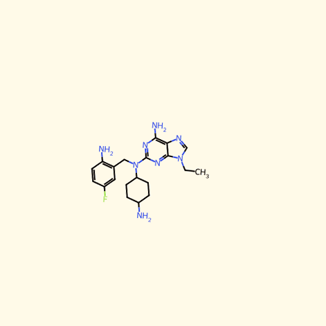 CCn1cnc2c(N)nc(N(Cc3cc(F)ccc3N)C3CCC(N)CC3)nc21